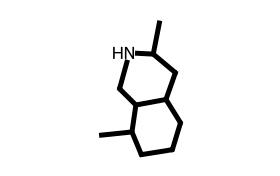 CC1CC2CCCC(C)C2CN1